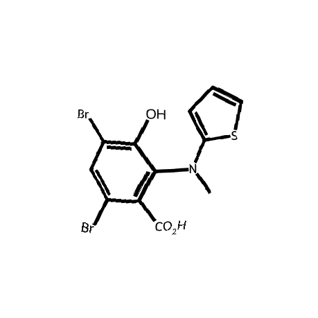 CN(c1cccs1)c1c(O)c(Br)cc(Br)c1C(=O)O